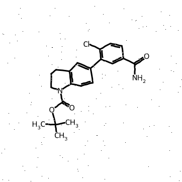 CC(C)(C)OC(=O)N1CCCc2cc(-c3cc(C(N)=O)ccc3Cl)ccc21